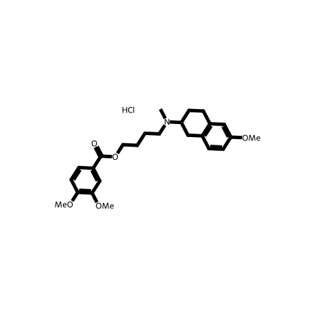 COc1ccc2c(c1)CCC(N(C)CCCCOC(=O)c1ccc(OC)c(OC)c1)C2.Cl